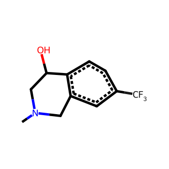 CN1Cc2cc(C(F)(F)F)ccc2C(O)C1